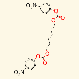 O=C(OCCCCCCOC(=O)Oc1ccc([N+](=O)[O-])cc1)Oc1ccc([N+](=O)[O-])cc1